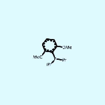 COc1cccc(OC)c1P(C(C)C)C(C)C